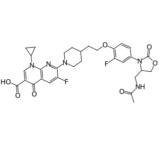 CC(=O)NCC1COC(=O)N1c1ccc(OCCC2CCN(c3nc4c(cc3F)c(=O)c(C(=O)O)cn4C3CC3)CC2)c(F)c1